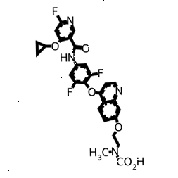 CN(CCOc1ccc2c(Oc3c(F)cc(NC(=O)c4cnc(F)cc4OC4CC4)cc3F)ccnc2c1)C(=O)O